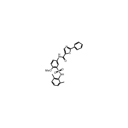 COc1ccc(NC(=O)c2cnc(-c3ccccc3)s2)cc1S(=O)(=O)Nc1c(C)cccc1C